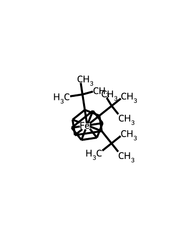 CC(C)(C)[C]12[CH]3[CH]4[C]5(C(C)(C)C)[C]1(C(C)(C)C)[Fe]34251678[CH]2[CH]1[CH]6[CH]7[CH]28